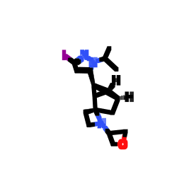 CC(C)n1nc(I)cc1[C@@]12C3[C@H]1[C@H]2C[C@@]31CCN1C1COC1